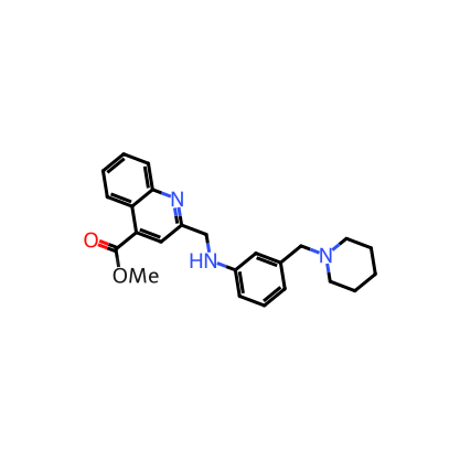 COC(=O)c1cc(CNc2cccc(CN3CCCCC3)c2)nc2ccccc12